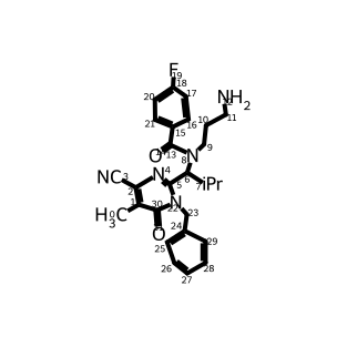 Cc1c(C#N)nc(C(C(C)C)N(CCCN)C(=O)c2ccc(F)cc2)n(Cc2ccccc2)c1=O